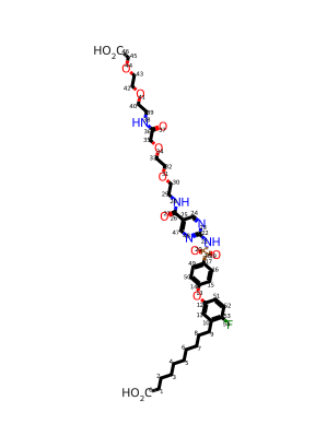 O=C(O)CCCCCCCCCc1cc(Oc2ccc(S(=O)(=O)Nc3ncc(C(=O)NCCOCCOCC(=O)NCCOCCOCC(=O)O)cn3)cc2)ccc1F